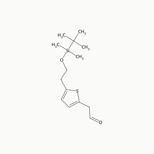 CC(C)(C)[Si](C)(C)OCCc1ccc(CC=O)s1